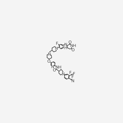 N#Cc1ccc(N2CCC(C(=O)Nc3ccc(OC4CCN(CC5CCN(c6ccc(NC7CCC(=O)NC7=O)cc6F)CC5)CC4)cn3)CC2)cc1C(F)(F)F